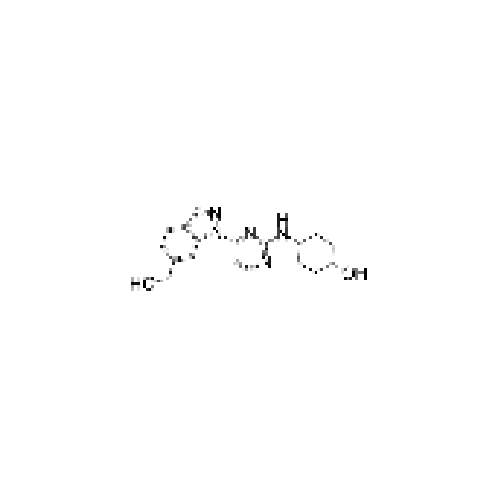 OCc1ccc2cnn(-c3ccnc(NC4CCC(O)CC4)n3)c2c1